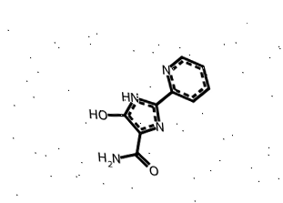 NC(=O)c1nc(-c2ccccn2)[nH]c1O